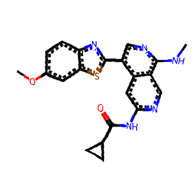 CNc1ncc(-c2nc3ccc(OC)cc3s2)c2cc(NC(=O)C3CC3)ncc12